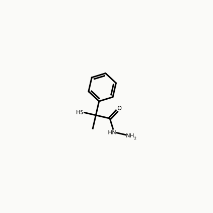 CC(S)(C(=O)NN)c1ccccc1